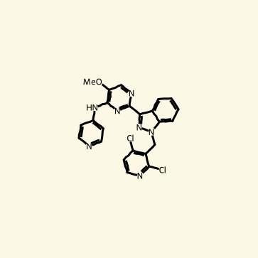 COc1cnc(-c2nn(Cc3c(Cl)ccnc3Cl)c3ccccc23)nc1Nc1ccncc1